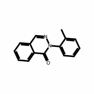 Cc1ccccc1-n1ncc2ccccc2c1=O